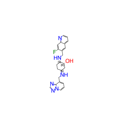 O[C@@H]1C[C@@H](NCc2cccn3ncnc23)CC[C@@H]1NCc1cc2cccnc2cc1F